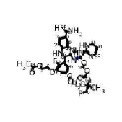 COc1cc(OCCOC(C)=O)c(F)c([C@@H](Nc2ccc(C(=N)N)cc2)C(=N)/N=C(\NC2=NC=CCN2)OCOC(=O)OC(C)(C)CF)c1